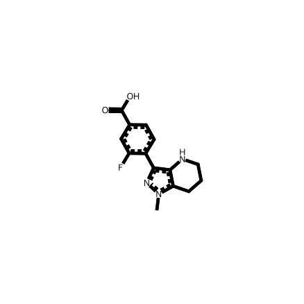 Cn1nc(-c2ccc(C(=O)O)cc2F)c2c1CCCN2